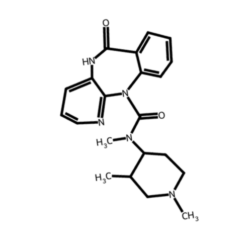 CC1CN(C)CCC1N(C)C(=O)N1c2ccccc2C(=O)Nc2cccnc21